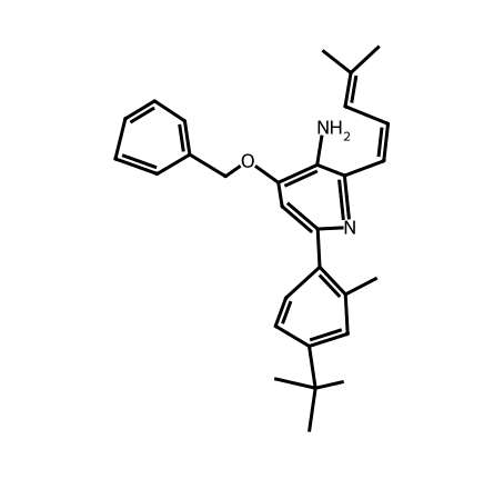 CC(C)=C/C=C\c1nc(-c2ccc(C(C)(C)C)cc2C)cc(OCc2ccccc2)c1N